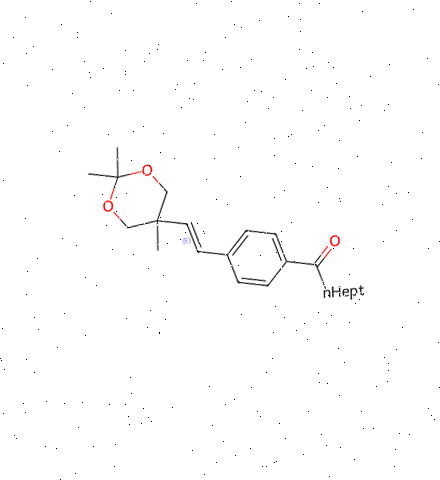 CCCCCCCC(=O)c1ccc(/C=C/C2(C)COC(C)(C)OC2)cc1